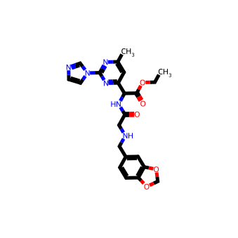 CCOC(=O)C(NC(=O)CNCc1ccc2c(c1)OCO2)c1cc(C)nc(-n2ccnc2)n1